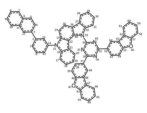 c1cc(-c2ccc3ccccc3c2)cc(-n2c3ccccc3c3c2ccc2c4ccccc4n(-c4nc(-c5ccc6oc7ccccc7c6c5)nc(-c5ccc6oc7ccccc7c6c5)n4)c23)c1